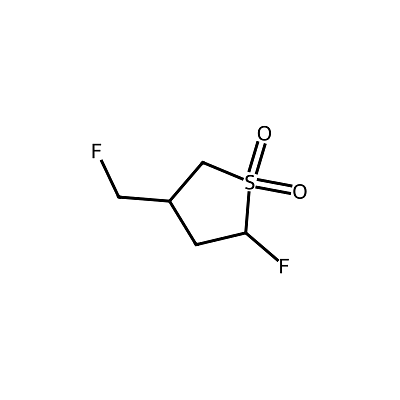 O=S1(=O)CC(CF)CC1F